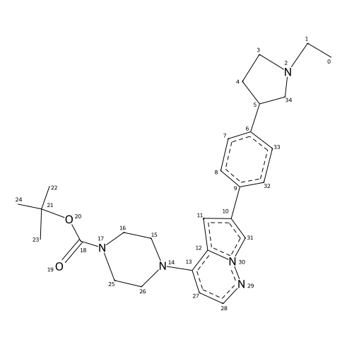 CCN1CCC(c2ccc(-c3cc4c(N5CCN(C(=O)OC(C)(C)C)CC5)ccnn4c3)cc2)C1